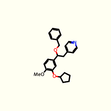 COc1ccc(C(Cc2ccncc2)OCc2ccccc2)cc1OC1CCCC1